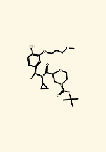 COCCCOc1cc(C(C)N(C(=O)C2CN(C(=O)OC(C)(C)C)CCO2)C2CC2)ccc1O